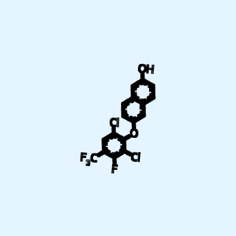 Oc1ccc2cc(Oc3c(Cl)cc(C(F)(F)F)c(F)c3Cl)ccc2c1